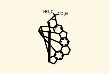 O=C(O)C1(C(=O)O)C2C3=C4C5=C(C=C6Cc7cc8c9c%10c7C6C5C5=C%10c6c-9c(cc7c6C(C(=C3)C7)C45)CC8)C21